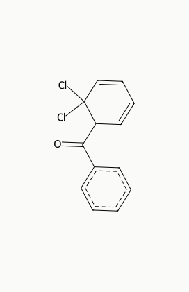 O=C(c1ccccc1)C1C=CC=CC1(Cl)Cl